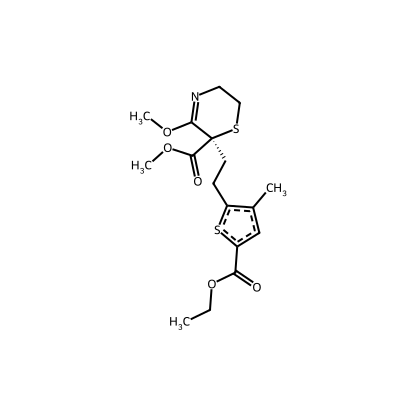 CCOC(=O)c1cc(C)c(CC[C@@]2(C(=O)OC)SCCN=C2OC)s1